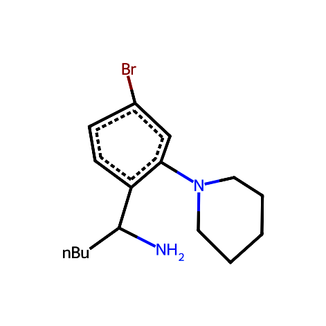 CCCCC(N)c1ccc(Br)cc1N1CCCCC1